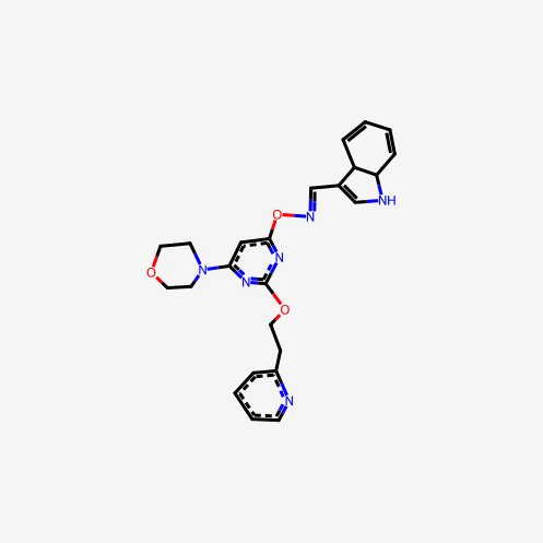 C1=CC2NC=C(/C=N/Oc3cc(N4CCOCC4)nc(OCCc4ccccn4)n3)C2C=C1